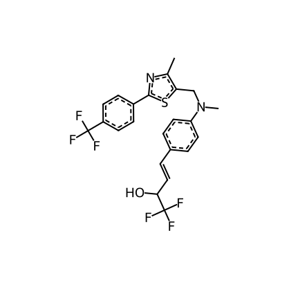 Cc1nc(-c2ccc(C(F)(F)F)cc2)sc1CN(C)c1ccc(/C=C/C(O)C(F)(F)F)cc1